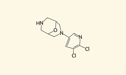 Clc1cc(N2CC3CNCC(C2)O3)cnc1Cl